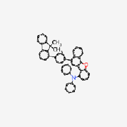 CC1(C)c2ccccc2-c2cccc(-c3ccc(-c4cc5c(oc6cccc(N(c7ccccc7)c7ccccc7)c65)c5ccccc45)cc3)c21